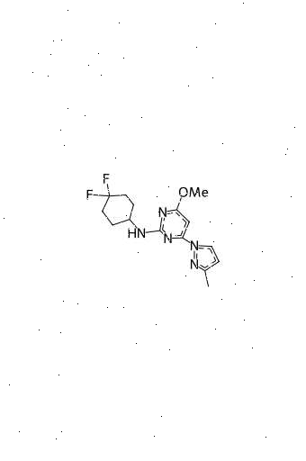 COc1cc(-n2ccc(C)n2)nc(NC2CCC(F)(F)CC2)n1